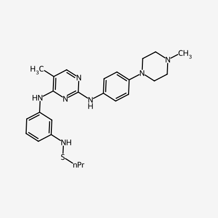 CCCSNc1cccc(Nc2nc(Nc3ccc(N4CCN(C)CC4)cc3)ncc2C)c1